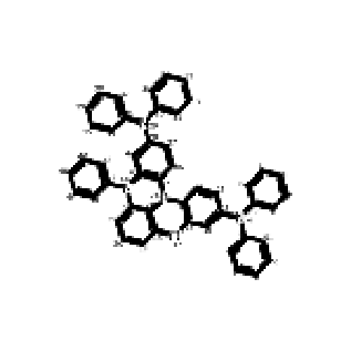 c1ccc(N(c2ccccc2)c2ccc3c(c2)Oc2cccc4c2B3c2ccc(N(c3ccccc3)c3ccccc3)cc2N4c2ccccc2)cc1